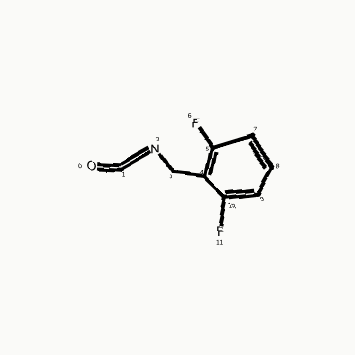 O=C=NCc1c(F)cccc1F